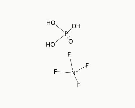 F[N+](F)(F)F.O=P(O)(O)O